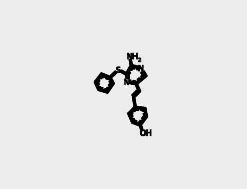 Nc1ncc(/C=C/c2ccc(O)cc2)nc1Sc1ccccc1